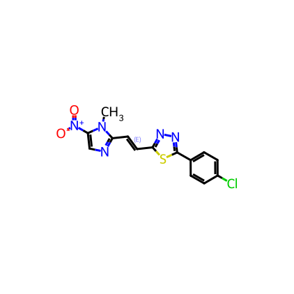 Cn1c([N+](=O)[O-])cnc1/C=C/c1nnc(-c2ccc(Cl)cc2)s1